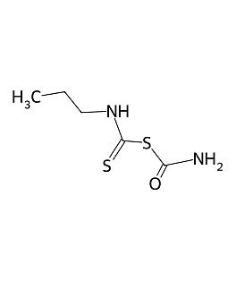 CCCNC(=S)SC(N)=O